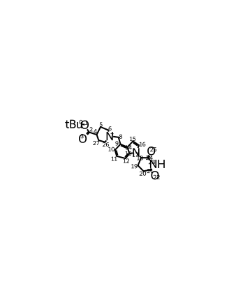 CC(C)(C)OC(=O)C1CCN(Cc2cccc3c2ccn3[C@@H]2CCC(=O)NC2=O)CC1